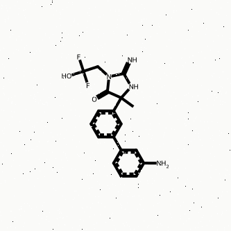 CC1(c2cccc(-c3cccc(N)c3)c2)NC(=N)N(CC(O)(F)F)C1=O